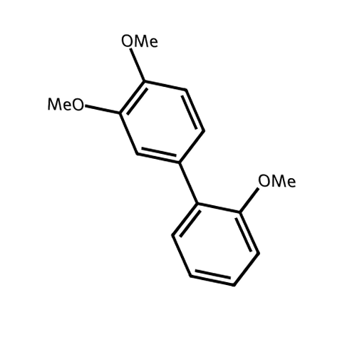 COc1ccc(-c2ccccc2OC)cc1OC